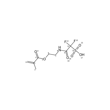 C=C(C)C(=O)OCCNC(=O)C(F)(F)S(=O)(=O)O